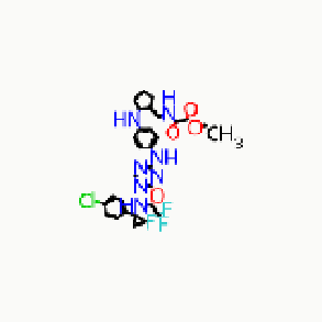 CCOC(=O)C(=O)NCC1CCCC1Nc1ccc(Nc2ncnc(OC(NC3(c4ccc(Cl)cc4)CC3)C(F)(F)F)n2)cc1